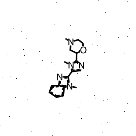 CN1CCOC(c2ncc(-c3nc4ccccc4n3C)n2C)C1